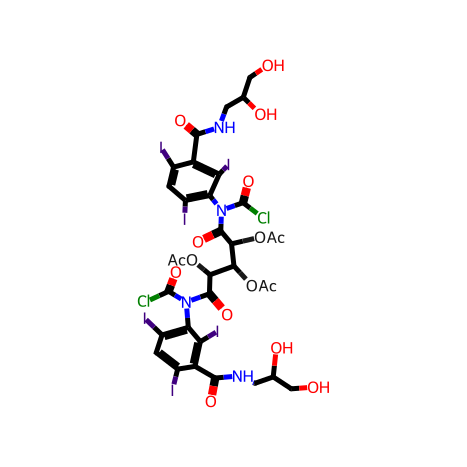 CC(=O)OC(C(=O)N(C(=O)Cl)c1c(I)cc(I)c(C(=O)NCC(O)CO)c1I)C(OC(C)=O)C(OC(C)=O)C(=O)N(C(=O)Cl)c1c(I)cc(I)c(C(=O)NCC(O)CO)c1I